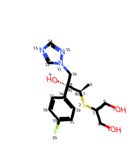 C[C@@H](SC(CO)CO)[C@](O)(Cn1cncn1)c1ccc(F)cc1